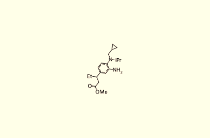 CCC(CC(=O)OC)c1ccc(N(CC2CC2)C(C)C)c(N)c1